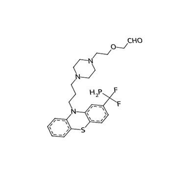 O=CCOCCN1CCN(CCCN2c3ccccc3Sc3ccc(C(F)(F)P)cc32)CC1